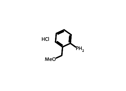 COCc1ccccc1P.Cl